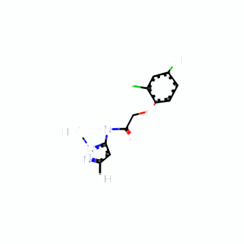 Cc1cc(NC(=O)COc2ccc(Cl)cc2Cl)n(C)n1